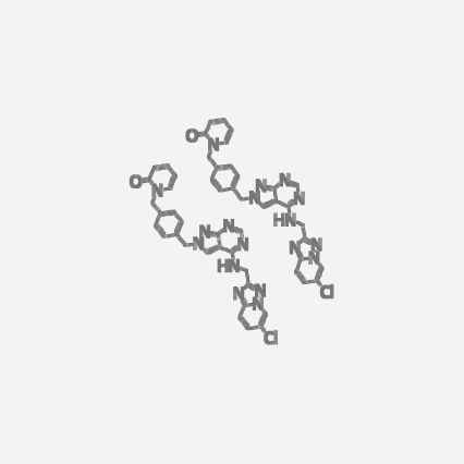 O=c1ccccn1Cc1ccc(Cn2cc3c(NCc4nc5ccc(Cl)cn5n4)ncnc3n2)cc1.O=c1ccccn1Cc1ccc(Cn2cc3c(NCc4nc5ccc(Cl)cn5n4)ncnc3n2)cc1